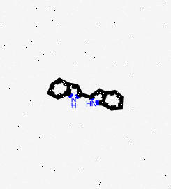 [c]1c(-c2[c]c3ccccc3[nH]2)[nH]c2ccccc12